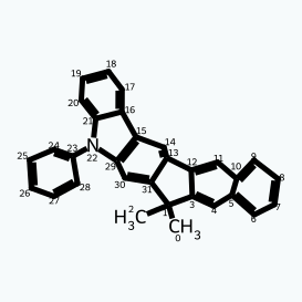 CC1(C)c2cc3ccccc3cc2-c2cc3c4ccccc4n(-c4ccccc4)c3cc21